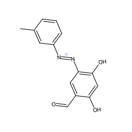 Cc1cccc(/N=N/c2cc(C=O)c(O)cc2O)c1